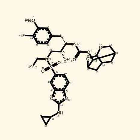 COc1cc(C[C@H](NC(=O)OC2C3COC4OC2CC4C3)[C@H](O)CN(CC(C)C)S(=O)(=O)c2ccc3nc(NC4CC4)oc3c2)ccc1F